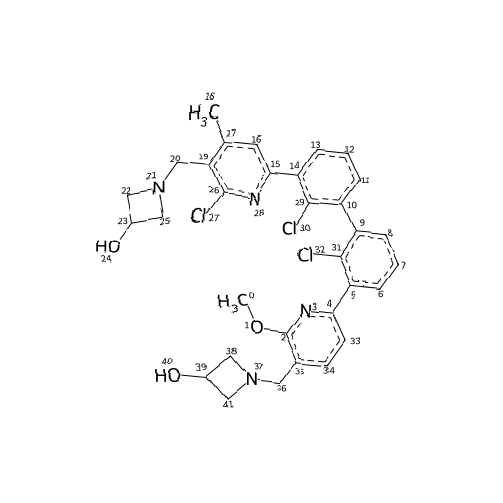 COc1nc(-c2cccc(-c3cccc(-c4cc(C)c(CN5CC(O)C5)c(Cl)n4)c3Cl)c2Cl)ccc1CN1CC(O)C1